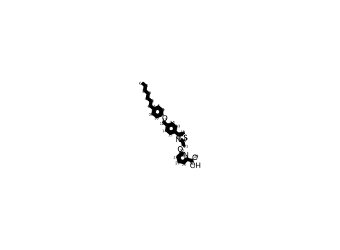 CCCCCCCc1ccc(OCc2ccc(-c3csc(COc4cccc(C(=O)O)n4)n3)cc2)cc1